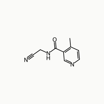 Cc1ccncc1C(=O)NCC#N